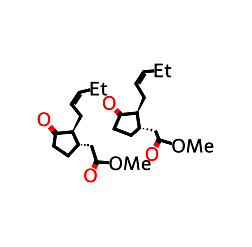 CC/C=C\C[C@@H]1C(=O)CC[C@H]1CC(=O)OC.CC/C=C\C[C@@H]1C(=O)CC[C@H]1CC(=O)OC